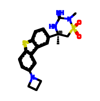 CN1C(=N)N[C@](C)(c2ccc3sc4ccc(N5CCC5)cc4c3c2)CS1(=O)=O